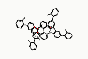 Cc1ccccc1-c1ccc2c(c1)c1cc(-c3ccccc3C)ccc1n2-c1cccc(C#N)c1-c1c(-c2c(C(F)(F)F)cccc2C(F)(F)F)cccc1-n1c2ccc(-c3ccccc3C)cc2c2cc(-c3ccccc3C)ccc21